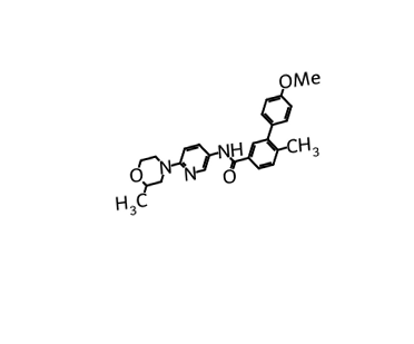 COc1ccc(-c2cc(C(=O)Nc3ccc(N4CCOC(C)C4)nc3)ccc2C)cc1